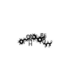 CC(C)CC(C)COc1ccc(-c2ccnc(NC(=O)CCC3CCCC3)c2)cc1C(F)(F)F